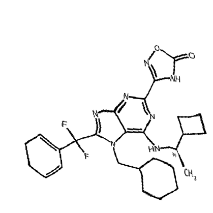 C[C@@H](Nc1nc(-c2noc(=O)[nH]2)nc2nc(C(F)(F)C3=CCCC=C3)n(CC3CCCCC3)c12)C1CCC1